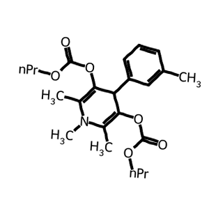 CCCOC(=O)OC1=C(C)N(C)C(C)=C(OC(=O)OCCC)C1c1cccc(C)c1